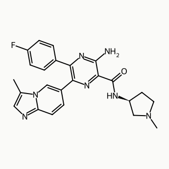 Cc1cnc2ccc(-c3nc(C(=O)N[C@H]4CCN(C)C4)c(N)nc3-c3ccc(F)cc3)cn12